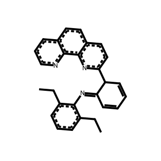 CCc1cccc(CC)c1N=C1C=CC=CC1c1ccc2ccc3cccnc3c2n1